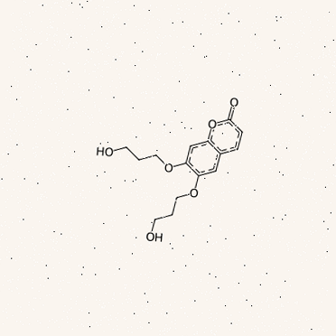 O=c1ccc2cc(OCCCO)c(OCCCO)cc2o1